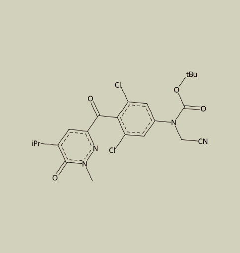 CC(C)c1cc(C(=O)c2c(Cl)cc(N(CC#N)C(=O)OC(C)(C)C)cc2Cl)nn(C)c1=O